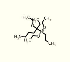 CCC[N+](OCC)(OCC)C(CC)(CCCN)OCC